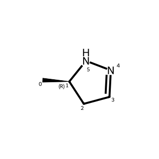 C[C@@H]1CC=NN1